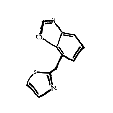 c1cc(-c2nccs2)c2ocnc2c1